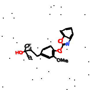 CCC(O)(CCc1ccc(Oc2nc3ccccc3o2)c(OC)c1)C(F)(F)F